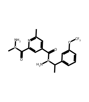 Cc1cc(C(=O)N(N)C(C)c2cccc(OC(F)(F)F)c2)cc(C(=O)N(C)N)n1